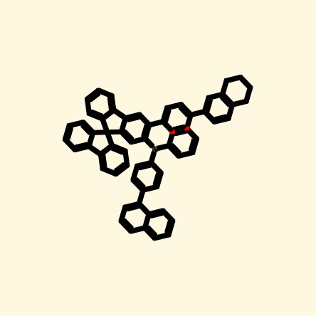 c1ccc(N(c2ccc(-c3cccc4ccccc34)cc2)c2cc3c(cc2-c2ccc(-c4ccc5c(c4)CCCC5)cc2)-c2ccccc2C32c3ccccc3-c3ccccc32)cc1